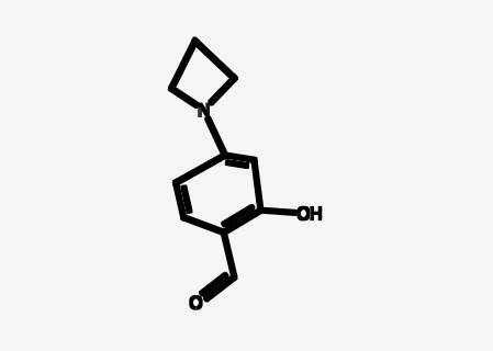 O=Cc1ccc(N2CCC2)cc1O